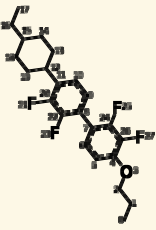 CCCOc1ccc(-c2ccc(C3CCC(CC)CC3)c(F)c2F)c(F)c1F